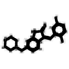 Cc1ccc(C)c(C=C2C(=O)Nc3cc(CN4CCOCC4)ccc32)c1